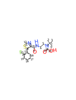 CC(C)(C)N(CCNC(=O)c1ncsc1-c1ccccc1F)C(=O)O